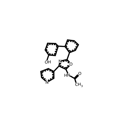 CC(=O)Nc1oc(-c2ccccc2-c2cccc(O)c2)nc1-c1cccnc1